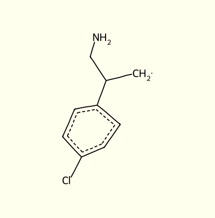 [CH2]C(CN)c1ccc(Cl)cc1